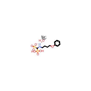 O.O=P([O-])([O-])C(NCCCCOc1ccccc1)P(=O)(O)O.[Na+].[Na+]